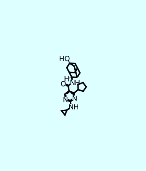 O=C(N[C@H]1C2CC3CC1C[C@@](O)(C3)C2)c1cnc(NC2CC2)nc1C1CCCC1